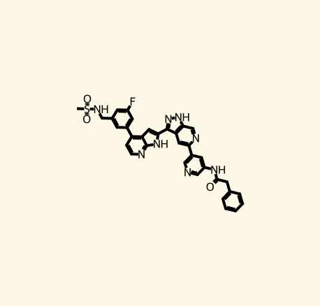 CS(=O)(=O)NCc1cc(F)cc(-c2ccnc3[nH]c(-c4n[nH]c5cnc(-c6cncc(NC(=O)Cc7ccccc7)c6)cc45)cc23)c1